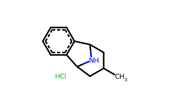 CC1CC2NC(C1)c1ccccc12.Cl